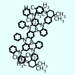 Cc1ccccc1N(c1cc2c3c(c1)N(c1ccccc1)c1cc4c(cc1B3c1ccccc1N2c1ccc2c(c1)C(C)(C)CCC2(C)C)B1c2ccccc2N(c2ccc3c(c2)C(C)(C)CCC3(C)C)c2cc(N(c3ccccc3C)c3ccccc3C)cc(c21)N4c1ccccc1)c1ccccc1C